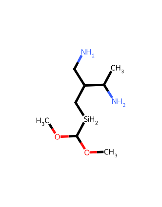 COC(OC)[SiH2]CC(CN)C(C)N